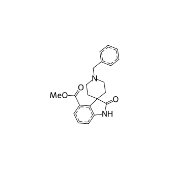 COC(=O)c1cccc2c1C1(CCN(Cc3ccccc3)CC1)C(=O)N2